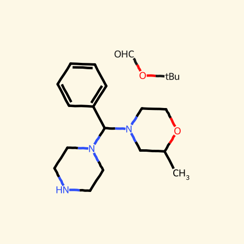 CC(C)(C)OC=O.CC1CN(C(c2ccccc2)N2CCNCC2)CCO1